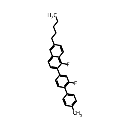 CCCCCc1ccc2c(F)c(-c3ccc(-c4ccc(C)cc4)c(F)c3)ccc2c1